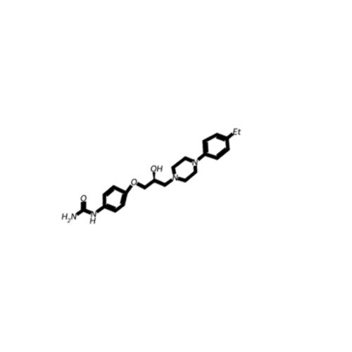 CCc1ccc(N2CCN(C[C@H](O)COc3ccc(NC(N)=O)cc3)CC2)cc1